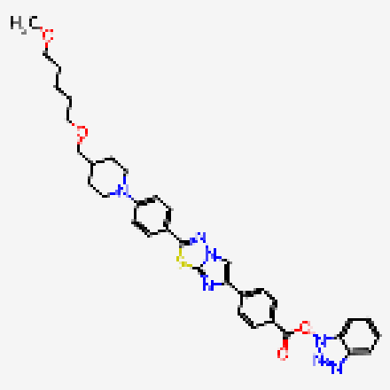 COCCCCCOCC1CCN(c2ccc(-c3nn4cc(-c5ccc(C(=O)On6nnc7ccccc76)cc5)nc4s3)cc2)CC1